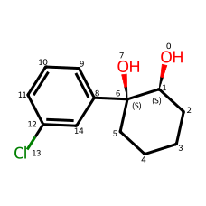 O[C@H]1CCCC[C@]1(O)c1cccc(Cl)c1